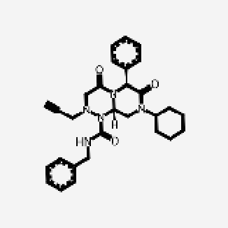 C#CCN1CC(=O)N2[C@@H](c3ccccc3)C(=O)N(C3CCCCC3)C[C@@H]2N1C(=O)NCc1ccccc1